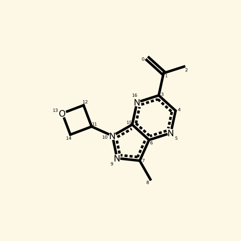 C=C(C)c1cnc2c(C)nn(C3COC3)c2n1